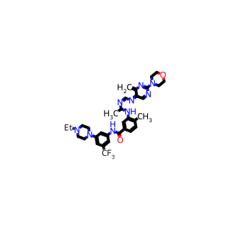 C=C1N=C(N2CCOCC2)N=C/C1=N/C=N\C(C)Nc1cc(C(=O)Nc2cc(N3CCN(CC)CC3)cc(C(F)(F)F)c2)ccc1C